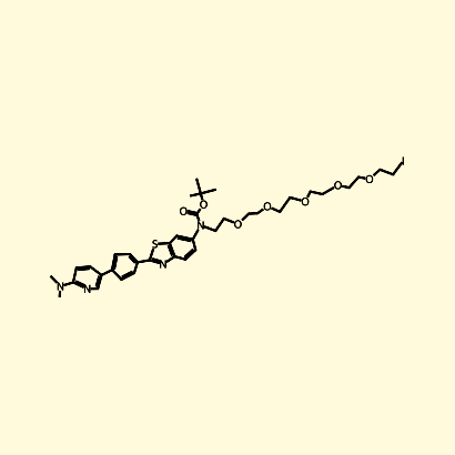 CN(C)c1ccc(-c2ccc(-c3nc4ccc(N(CCOCCOCCOCCOCCOCCI)C(=O)OC(C)(C)C)cc4s3)cc2)cn1